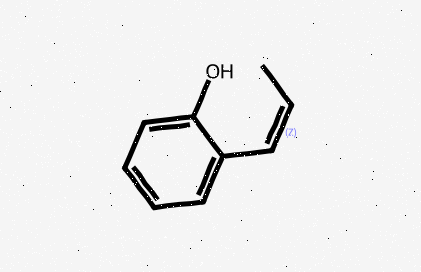 C/C=C\c1ccccc1O